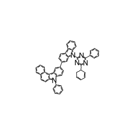 C1=CCC(c2nc(-c3ccccc3)nc(-n3c4ccccc4c4ccc(-c5ccc6c(c5)c5c7ccccc7ccc5n6-c5ccccc5)cc43)n2)C=C1